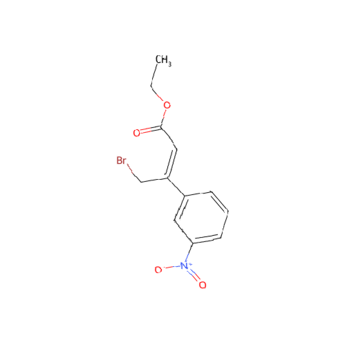 CCOC(=O)/C=C(\CBr)c1cccc([N+](=O)[O-])c1